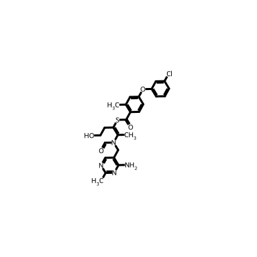 CC(=C(CCO)SC(=O)c1ccc(Oc2cccc(Cl)c2)cc1C)N(C=O)Cc1cnc(C)nc1N